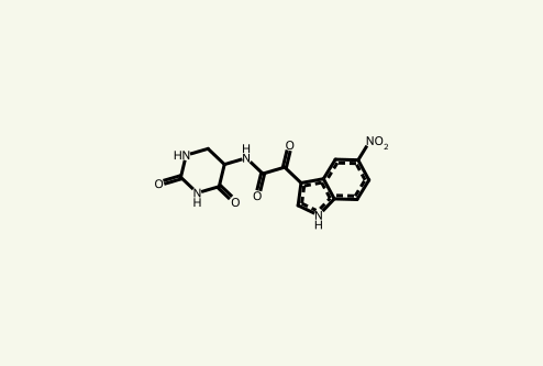 O=C1NCC(NC(=O)C(=O)c2c[nH]c3ccc([N+](=O)[O-])cc23)C(=O)N1